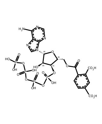 Nc1ncnc2c1ncn2[C@@H]1O[C@H](COC(=O)c2ccc(C(=O)O)cc2C(=O)O)[C@@H](OP(=O)(O)OP(=O)(O)OP(=O)(O)OP(=O)(O)O)[C@H]1O